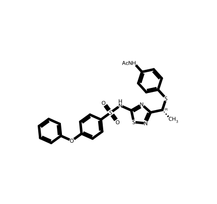 CC(=O)Nc1ccc(S[C@H](C)c2nsc(NS(=O)(=O)c3ccc(Oc4ccccc4)cc3)n2)cc1